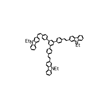 CCn1c2ccccc2c2ccc(/C=C\c3ccc(-c4cc(-c5ccc(/C=C/c6ccc7c8ccccc8n(CC)c7c6)cc5)cc(-c5ccc(/C=C/c6ccc7c8ccccc8n(CC)c7c6)cc5)c4)cc3)cc21